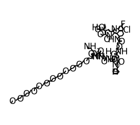 CC[C@@]1(O)C(=O)OCc2c1cc1n(c2=O)Cc2c-1nc1cc(F)c(Cl)c3c1c2C(NC(=O)COCNC(=O)CNC(=O)[C@H](Cc1ccccc1)NC(=O)CNC(=O)CNC(=O)[C@H](CCCCN)NC(=O)CCOCCOCCOCCOCCOCCOCCOCCOCCOCCOCCOCCOC)CC3